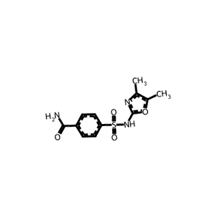 Cc1nc(NS(=O)(=O)c2ccc(C(N)=O)cc2)oc1C